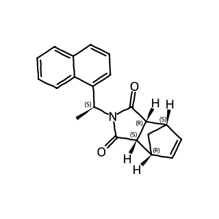 C[C@@H](c1cccc2ccccc12)N1C(=O)[C@@H]2[C@H](C1=O)[C@@H]1C=C[C@H]2C1